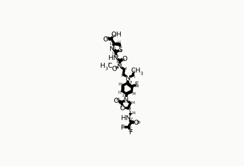 CCN(CCN(OC)C(=O)Nc1nc(C(=O)O)cs1)c1ccc(N2C[C@H](CNC(=O)C(F)F)OC2=O)cc1F